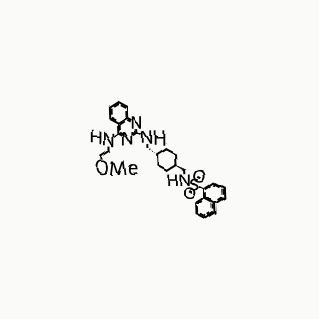 COCCNc1nc(NC[C@H]2CC[C@H](CNS(=O)(=O)c3cccc4ccccc34)CC2)nc2ccccc12